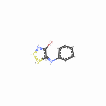 Brc1nssc1=Nc1ccccc1